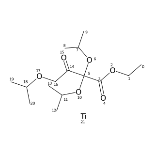 CCOC(=O)C(OC(C)C)(OC(C)C)C(=O)COC(C)C.[Ti]